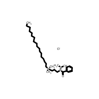 CCCCCCCCCCCCCCCCCC[N+](C)(C)CCCN(C(=O)c1ccccc1)N(C)C.[Cl-]